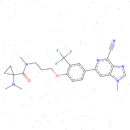 CN(CCCOc1ccc(-c2cc3c(ncn3C)c(C#N)n2)cc1C(F)(F)F)C(=O)C1(N(C)C)CC1